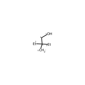 [CH2]C(CC)(CC)CO